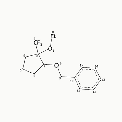 CCOC1(C(F)(F)F)CCCC1OCc1ccccc1